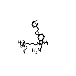 CCOP(=O)(O)CCCCn1c(CN)[n+](CC)c2ccc(OCc3ccccc3)cc21